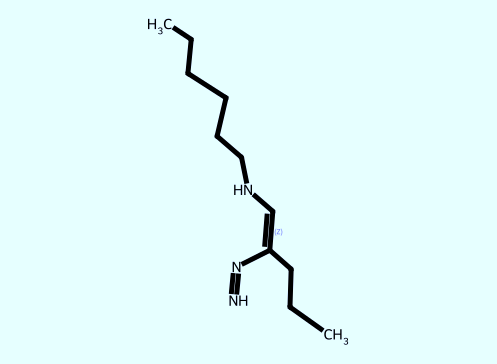 CCCCCCN/C=C(/CCC)N=N